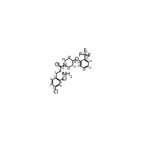 N[C@H](Cc1ccc(Cl)cc1Cl)C(=O)N1CCC(Oc2ccccc2C(F)(F)F)CC1